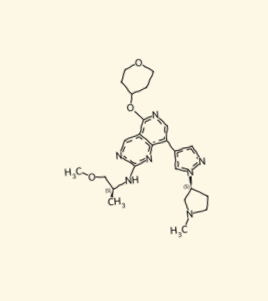 COC[C@H](C)Nc1ncc2c(OC3CCOCC3)ncc(-c3cnn([C@H]4CCN(C)C4)c3)c2n1